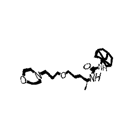 C[C@@H](CCCOCCCN1CCOCC1)NC(=O)NC12CC3CC(CC(C3)C1)C2